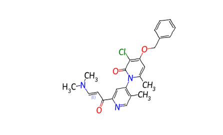 Cc1cnc(C(=O)/C=C/N(C)C)cc1-n1c(C)cc(OCc2ccccc2)c(Cl)c1=O